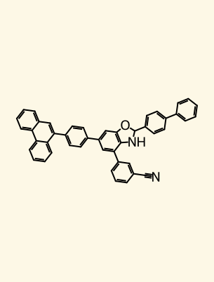 N#Cc1cccc(-c2cc(-c3ccc(-c4cc5ccccc5c5ccccc45)cc3)cc3c2NC(c2ccc(-c4ccccc4)cc2)O3)c1